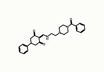 O=C1CC(c2ccccc2)CC(=O)C1=CNCCN1CCN(C(=O)c2ccccc2)CC1